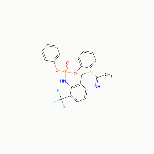 CC(=N)SCc1cccc(C(F)(F)F)c1NP(=O)(Oc1ccccc1)Oc1ccccc1